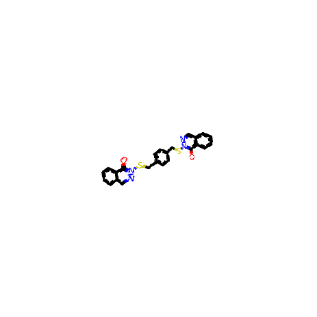 O=c1c2ccccc2cnn1SCc1ccc(CSn2ncc3ccccc3c2=O)cc1